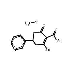 CCCC(=O)C1=C(O)CC(c2cccnc2)CC1=O.CI